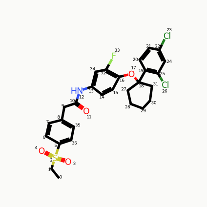 CCS(=O)(=O)c1ccc(CC(=O)Nc2ccc(OC3(c4ccc(Cl)cc4Cl)CCCCC3)c(F)c2)cc1